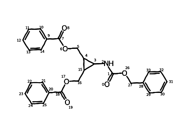 O=C(NC1C(COC(=O)c2ccccc2)C1COC(=O)c1ccccc1)OCc1ccccc1